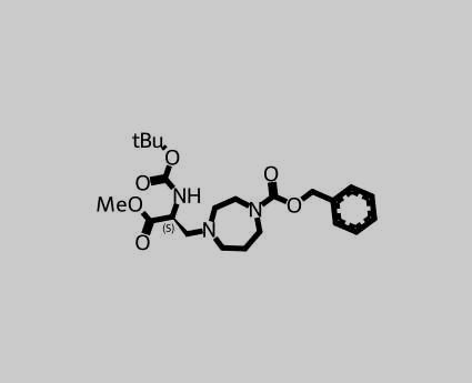 COC(=O)[C@H](CN1CCCN(C(=O)OCc2ccccc2)CC1)NC(=O)OC(C)(C)C